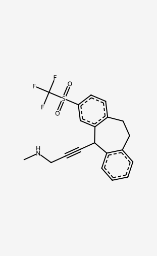 CNCC#CC1c2ccccc2CCc2ccc(S(=O)(=O)C(F)(F)F)cc21